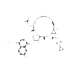 CC[C@@H]1C[C@H](C)CC/C=C\[C@@H]2C[C@@]2(C(=O)NS(=O)(=O)C2CC2)NC(=O)[C@@H]2C[C@@H](Oc3ncc(OC)c4ccc(F)cc34)CN2C(=O)[C@H]1NC(=O)OC(C)(C)C